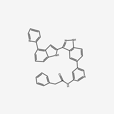 O=C(Cc1ccccc1)Nc1cncc(-c2ccc3[nH]nc(-c4cc5c(-c6ccccn6)cccc5[nH]4)c3c2)c1